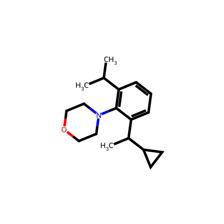 CC(C)c1cccc(C(C)C2CC2)c1N1CCOCC1